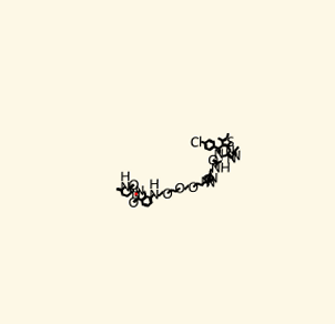 C=C1CCC(N(C)/N=C\c2c(C=O)cccc2NCCOCCOCCOCCn2cc(CNC(=O)C[C@@H]3N=C(c4ccc(Cl)cc4)c4c(sc(C)c4C)-n4c(C)nnc43)nn2)C(=O)N1